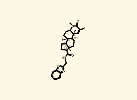 CN1C(=O)C(F)=C[C@@]2(C)C1CC[C@@H]1[C@H]2CC[C@]2(C)C(C(=O)NCc3nc4ccccc4s3)CC[C@@H]12